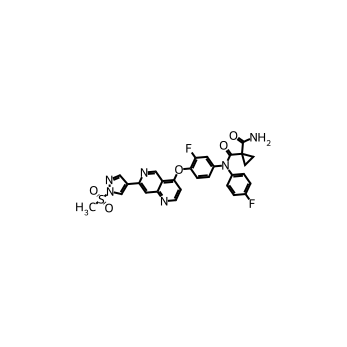 CS(=O)(=O)n1cc(-c2cc3nccc(Oc4ccc(N(C(=O)C5(C(N)=O)CC5)c5ccc(F)cc5)cc4F)c3cn2)cn1